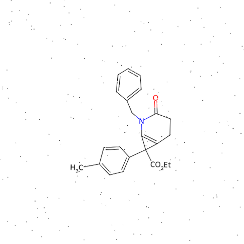 CCOC(=O)C1(c2ccc(C)cc2)C2=C1N(Cc1ccccc1)C(=O)CC2